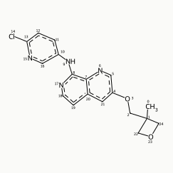 CC1(COc2cnc3c(Nc4ccc(Cl)nc4)nccc3c2)COC1